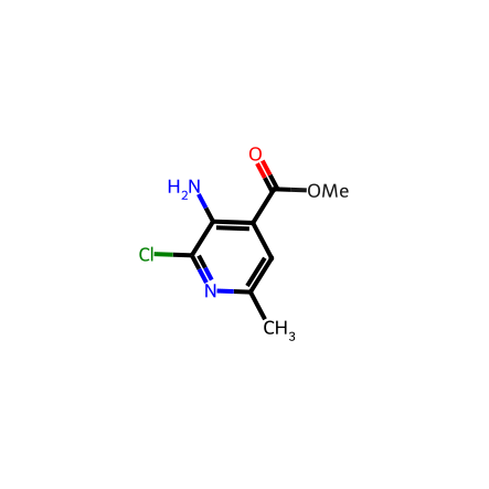 COC(=O)c1cc(C)nc(Cl)c1N